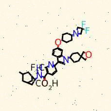 CC1CC2CC(C1)C(NC(=O)c1ccc(-c3cn(C4CCC5(CC4)COC5)c4cc(O[C@H]5CC[C@H](N6CC(F)(F)C6)CC5)ccc34)nc1C(F)(F)F)(C(=O)O)C2